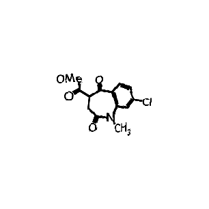 COC(=O)C1CC(=O)N(C)c2cc(Cl)ccc2C1=O